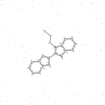 FCCn1c(-c2cc3ccccc3o2)nc2ccccc21